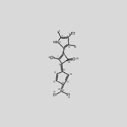 CCc1c(C)[nH]c(C2=C([O-])C(=C3C=CC(=[N+](CC)CC)C=C3)C2=O)c1C